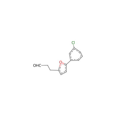 O=CCCc1ccc(-c2cccc(Cl)c2)o1